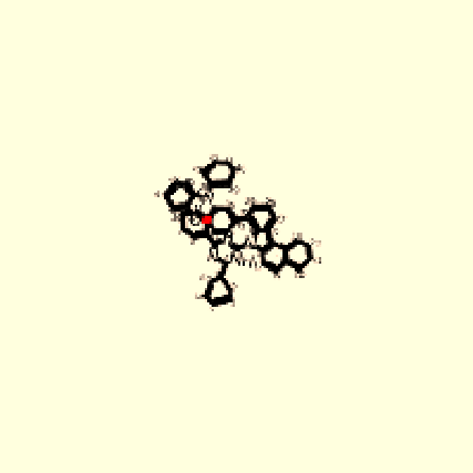 C1=CCC(C2N=C(C3=CCCC=C3)N=C(n3c4ccc5ccccc5c4c4cccc(-c5ccc6c(c5)N(C5=CCCC=C5)c5ccccc5O6)c43)N2)C=C1